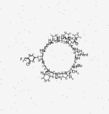 CCCCC[C@@H]1NC[C@H]([C@@H](C)CC)NC(C)[C@H](C)N2CCCC2=CN(C)C(CC2CCCCC2)=CN(C)C=CN=C(CCc2ccc(C(F)(F)F)c(Cl)c2)C=CNCCNCC2(CCCC2)NC(C)[C@H](C2CCCC2)N2C(C)[C@H](C(=O)N3CCC3)C2CNC1C